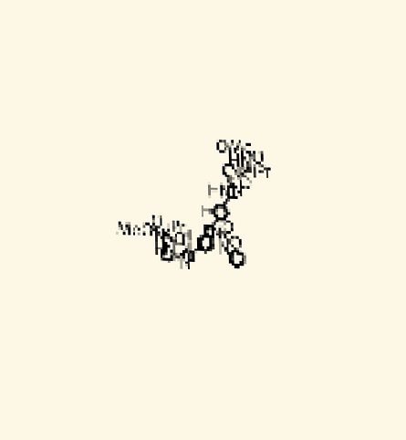 COC(=O)N[C@H](C(=O)N1CCC[C@H]1c1ncc(-c2cc(F)c3c(c2)OC(c2nc4ccccc4o2)n2c-3cc3cc(-c4cnc([C@@H]5CCCN5C(=O)[C@@H](NC(=O)OC)C(C)C)[nH]4)ccc32)[nH]1)C(C)C